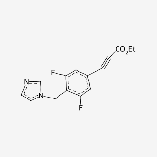 CCOC(=O)C#Cc1cc(F)c(Cn2ccnc2)c(F)c1